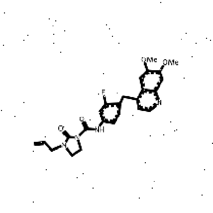 C=CCN1CCN(C(=O)Nc2ccc(Cc3ccnc4cc(OC)c(OC)cc34)c(F)c2)C1=O